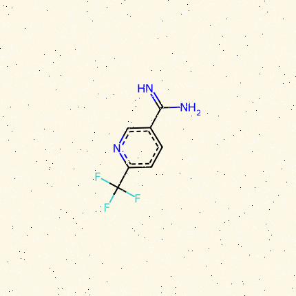 N=C(N)c1ccc(C(F)(F)F)nc1